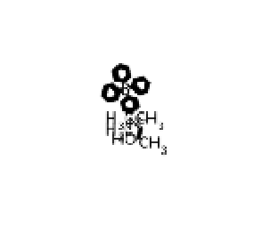 C[C@@H](O)C[N+](C)(C)C.c1ccc([B-](c2ccccc2)(c2ccccc2)c2ccccc2)cc1